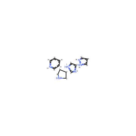 C1CCNC1.c1c[nH]cn1.c1ccncc1.c1cn[nH]c1